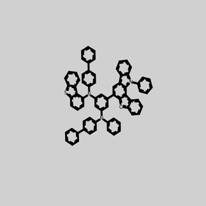 c1ccc(-c2ccc(N(c3ccccc3)c3cc(-c4cc5c6ccccc6n(-c6ccccc6)c5c5c4oc4ccccc45)cc(N(c4ccc(-c5ccccc5)cc4)c4cccc5sc6ccccc6c45)c3)cc2)cc1